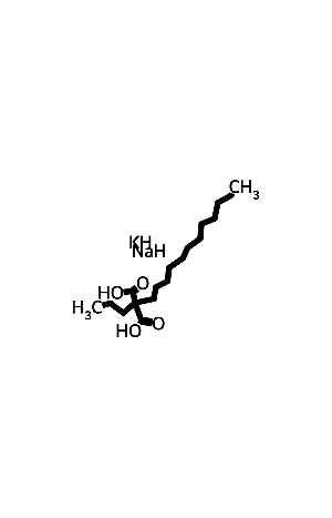 CCCCCCCCCCCCC(CCC)(C(=O)O)C(=O)O.[KH].[NaH]